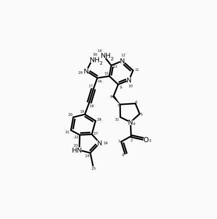 C=CC(=O)N1CC[C@H](Cc2ncnc(N)c2/C(C#Cc2ccc3[nH]c(C)nc3c2)=N\N)C1